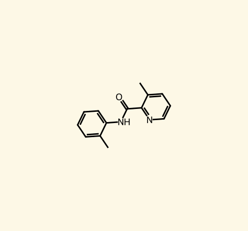 Cc1ccccc1NC(=O)c1ncccc1C